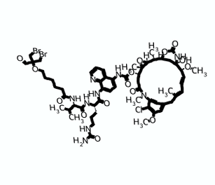 COc1cc2cc(c1Cl)N(C)C(=O)C[C@H](OC(=O)Nc1ccc(NC(=O)[C@H](CCCNC(N)=O)NC(=O)[C@@H](NC(=O)CCCCCOC(C=O)(CBr)CBr)C(C)C)c3ncccc13)[C@]1(C)O[C@H]1[C@H](C)[C@@H]1C[C@@](O)(NC(=O)O1)[C@H](OC)/C=C/C=C(\C)C2